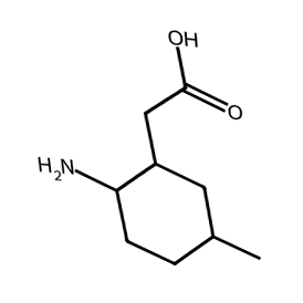 CC1CCC(N)C(CC(=O)O)C1